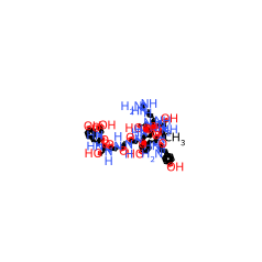 C[C@H](NC(=O)[C@H](Cc1ccc(O)cc1)NC(=O)[C@@H](N)Cc1ccc(O)cc1)C(=O)N[C@@H](CO)C(=O)N[C@@H](CCCNC(=N)N)C(=O)N[C@@H](CO)C(=O)N[C@@H](CCC(N)=O)C(=O)NCC(=O)NCC(=O)NCC(=O)N[C@@H](CO)C(=O)N[C@@H](Cc1ccc(O)cc1)C(=O)NCC(=O)O